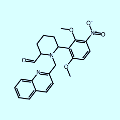 COc1ccc([N+](=O)[O-])c(OC)c1C1CCCC(C=O)N1Cc1ccc2ccccc2n1